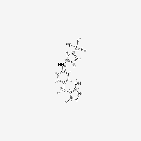 Cc1cnn(O)c1[C@H](C)c1ccc(Nc2nc(C(F)(F)F)cs2)cc1